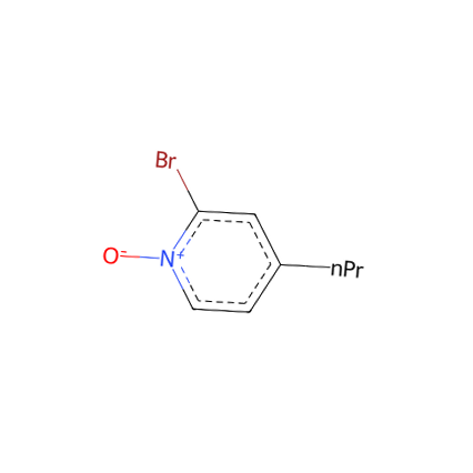 CCCc1cc[n+]([O-])c(Br)c1